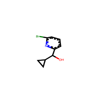 OC(c1cccc(Br)n1)C1CC1